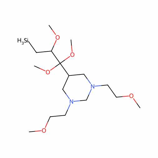 COCCN1CC(C(OC)(OC)C(C[SiH3])OC)CN(CCOC)C1